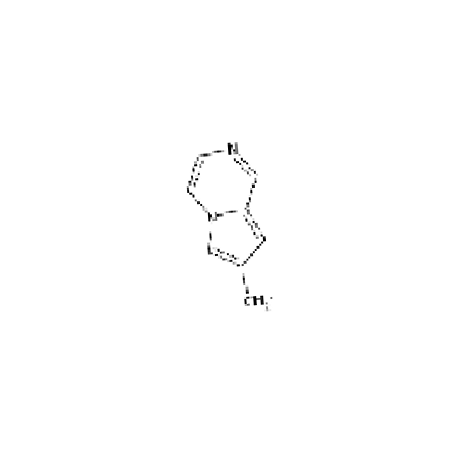 [CH2]c1cc2cnccn2c1